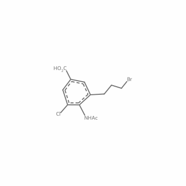 CC(=O)Nc1c(Cl)cc(C(=O)O)cc1CCCBr